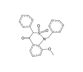 COc1cccc2c1N(Cc1ccccc1)S(=O)(=O)C(c1ccccc1)C2=O